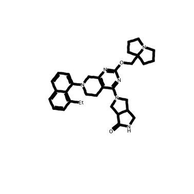 CCc1cccc2cccc(N3CCc4c(nc(OCC56CCCN5CCC6)nc4N4CC5CNC(=O)C5C4)C3)c12